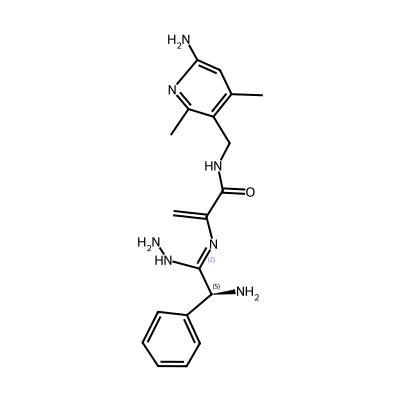 C=C(/N=C(\NN)[C@@H](N)c1ccccc1)C(=O)NCc1c(C)cc(N)nc1C